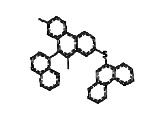 Cc1ccc2c(c1)c(-c1cccc3ccccc13)c(C)c1cc(Sc3cc4ccccc4c4ccccc34)ccc12